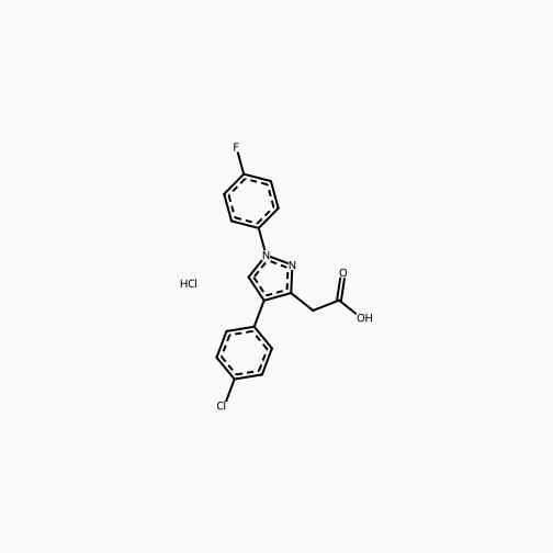 Cl.O=C(O)Cc1nn(-c2ccc(F)cc2)cc1-c1ccc(Cl)cc1